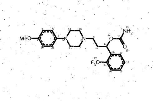 COc1ccc(N2CCN(CCC(OC(N)=O)c3ccccc3C(F)(F)F)CC2)cc1